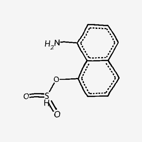 Nc1cccc2cccc(O[SH](=O)=O)c12